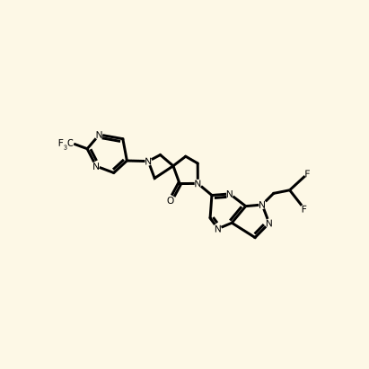 O=C1N(c2cnc3cnn(CC(F)F)c3n2)CCC12CN(c1cnc(C(F)(F)F)nc1)C2